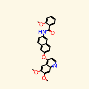 COc1cc2nccc(Oc3ccc4cc(NC(=O)c5ccccc5OC)ccc4c3)c2cc1OC